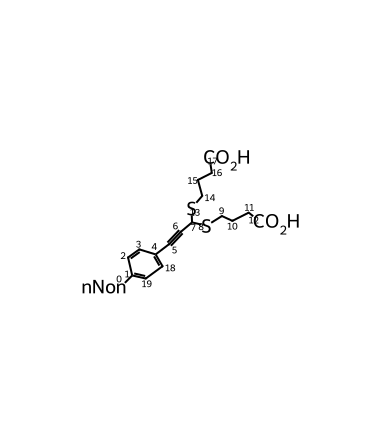 CCCCCCCCCc1ccc(C#CC(SCCCC(=O)O)SCCCC(=O)O)cc1